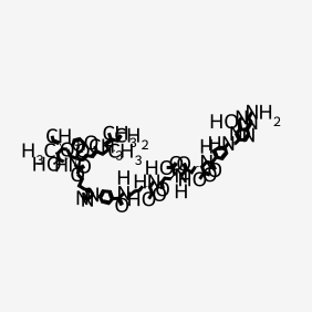 C=C/C(C)=C\[C@H](C)C/C(C)=C/C=C/[C@@](NC(=O)OCCc1cn(-c2ccc(C(=O)NCCCC[C@H](NC(=O)CC[C@H](NC(=O)CC[C@H](NC(=O)c3ccc(NCc4cnc5nc(N)nc(O)c5n4)cc3)C(=O)O)C(=O)O)C(=O)O)cc2)nn1)([C@@H]1C[C@@H](O)[C@H](C)[C@H](/C=C/C)O1)[C@H]1CC=CC(=O)O1